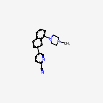 CN1CCN(c2cccc3ccc(-c4ccc(C#N)nc4)cc23)CC1